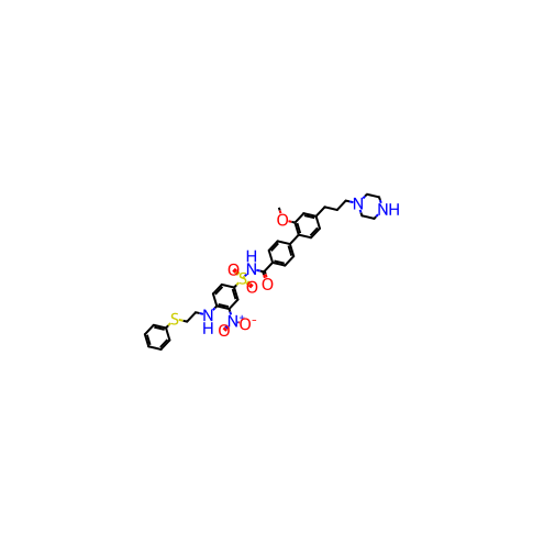 COc1cc(CCCN2CCNCC2)ccc1-c1ccc(C(=O)NS(=O)(=O)c2ccc(NCCSc3ccccc3)c([N+](=O)[O-])c2)cc1